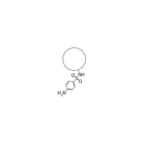 Nc1ccc(S(=O)(=O)NC2CCCCCCCCCCCCCC2)cc1